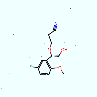 COc1ccc(F)cc1[C@H](CO)OCCC#N